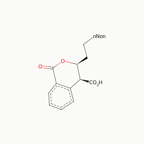 CCCCCCCCCCC[C@@H]1OC(=O)c2ccccc2[C@@H]1C(=O)O